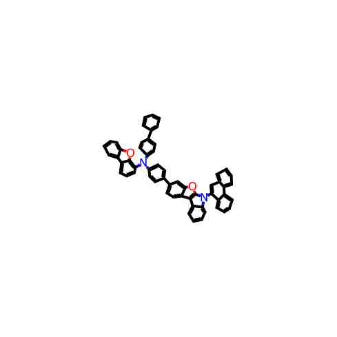 c1ccc(-c2ccc(N(c3ccc(-c4ccc5c(c4)oc4c5c5ccccc5n4-c4cc5ccccc5c5ccccc45)cc3)c3cccc4c3oc3ccccc34)cc2)cc1